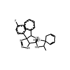 CC(NC(=O)C1NN=NC1(c1ccc(F)cc1)C(c1ccccc1)C(F)(F)F)C1(C(=O)O)C=CC=CC1